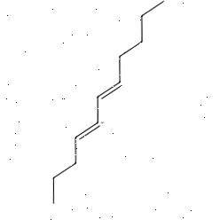 CCC/C=[C]/C=CCCCC